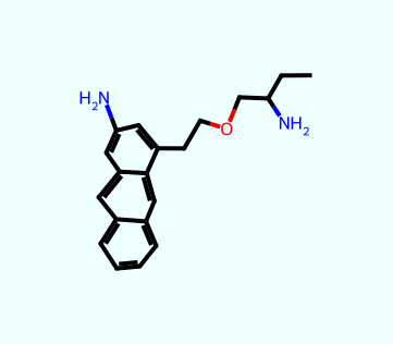 CCC(N)COCCc1cc(N)cc2cc3ccccc3cc12